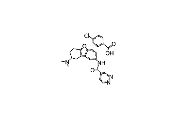 CN(C)C1CCc2oc3ccc(NC(=O)c4ccnnc4)cc3c2C1.O=C(O)c1ccc(Cl)cc1